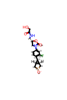 O=C(CO)NC[C@H]1CN(c2ccc(C3[C@H]4C[S+]([O-])C[C@@H]34)c(F)c2)C(=O)O1